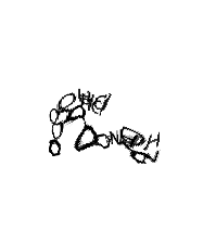 Cl.Cl.O=C(O)c1ccc(-c2ccc3c(c2)C[C@@H](NC[C@H](O)c2cccnc2)CC3)cc1Oc1ccccc1